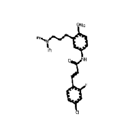 COc1ccc(NC(=O)C=Cc2ccc(Cl)cc2F)cc1CCCN(C(C)C)C(C)C